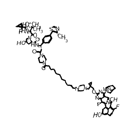 C#Cc1c(F)ccc2cc(O)cc(-c3ncc4c(N5CC6CCC(C5)N6)nc(OCC5(CN6CCN(CCCCCCCCCCC(=O)N7CCN(C(=O)C[C@H](NC(=O)[C@@H]8C[C@@H](O)CN8C(=O)[C@@H](NC(=O)C8(F)CC8)C(C)(C)C)c8ccc(-c9scnc9C)cc8)CC7)CC6)CC5)nc4c3F)c12